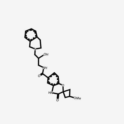 COC1CC2(C1)Oc1ccc(C(=O)NCC(O)CN3CCc4ccccc4C3)cc1NC2=O